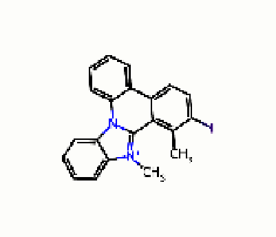 Cc1c(I)ccc2c3ccccc3n3c4ccccc4[n+](C)c3c12